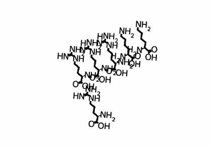 N=C(N)NCCC[C@H](N)C(=O)O.N=C(N)NCCC[C@H](N)C(=O)O.N=C(N)NCCC[C@H](N)C(=O)O.N=C(N)NCCC[C@H](N)C(=O)O.NCCCC[C@H](N)C(=O)O.NCCCC[C@H](N)C(=O)O